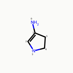 NC1=C[N]CC1